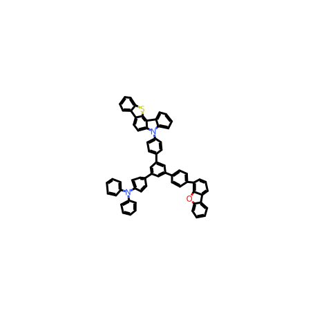 c1ccc(N(c2ccccc2)c2ccc(-c3cc(-c4ccc(-c5cccc6c5oc5ccccc56)cc4)cc(-c4ccc(-n5c6ccccc6c6c7sc8ccccc8c7ccc65)cc4)c3)cc2)cc1